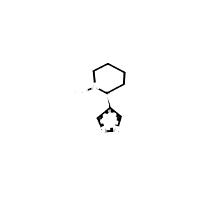 CC(C)(C)N1CCCC[C@H]1c1cn[nH]c1